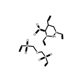 C=CC1CN(C=C)NN(C=C)C1=S(=O)=O.C=CS(=O)(=O)COCS(=O)(=O)C=C